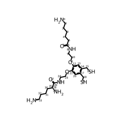 NCCCCCC(=O)NCCOc1cc(CS)c(CS)cc1OCCNC(=O)[C@@H](N)CCCCN